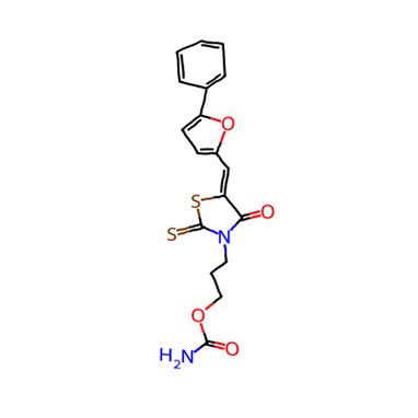 NC(=O)OCCCN1C(=O)C(=Cc2ccc(-c3ccccc3)o2)SC1=S